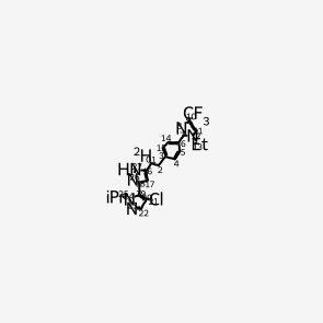 [2H]C(Cc1ccc(-c2nc(C(F)(F)F)cn2CC)cc1)c1cc(-c2c(Cl)cnn2C(C)C)n[nH]1